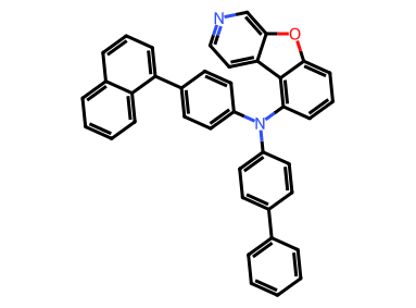 c1ccc(-c2ccc(N(c3ccc(-c4cccc5ccccc45)cc3)c3cccc4oc5cnccc5c34)cc2)cc1